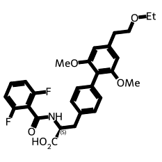 CCOCCc1cc(OC)c(-c2ccc(C[C@H](NC(=O)c3c(F)cccc3F)C(=O)O)cc2)c(OC)c1